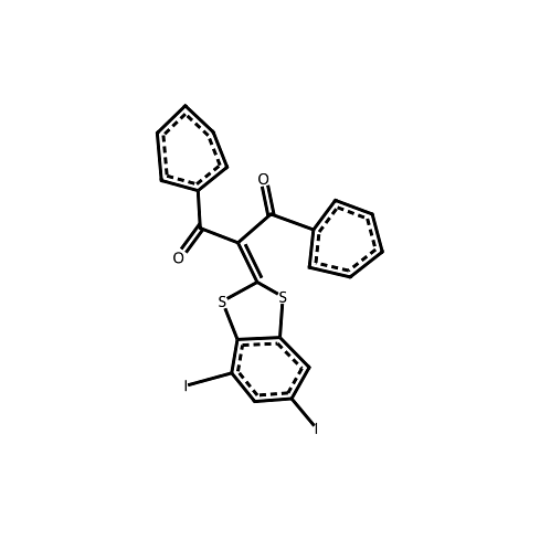 O=C(C(C(=O)c1ccccc1)=C1Sc2cc(I)cc(I)c2S1)c1ccccc1